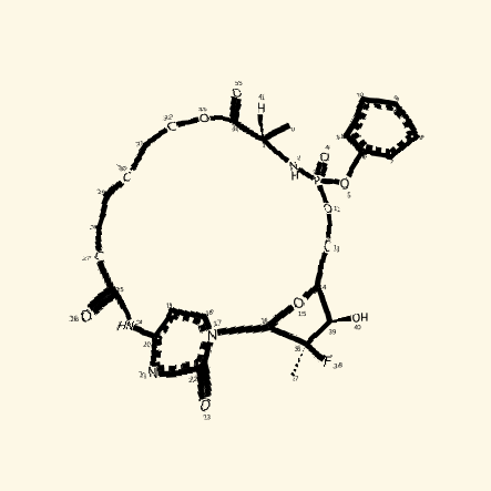 C[C@@H]1NP(=O)(Oc2ccccc2)OCC2OC(n3ccc(nc3=O)NC(=O)CCCCCCOC1=O)[C@](C)(F)[C@@H]2O